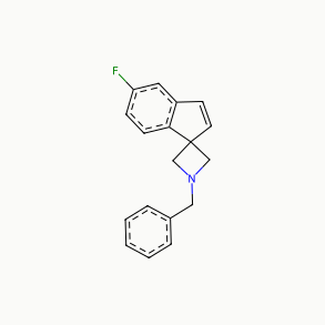 Fc1ccc2c(c1)C=CC21CN(Cc2ccccc2)C1